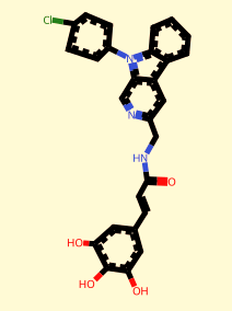 O=C(/C=C/c1cc(O)c(O)c(O)c1)NCc1cc2c3ccccc3n(-c3ccc(Cl)cc3)c2cn1